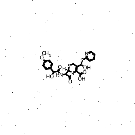 COc1ccc(C(O)C(=O)NC2C(=O)N3C(C(=O)O)=C(C(O)Sc4ccccn4)CS[C@@H]23)cc1